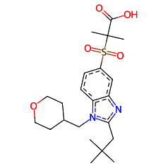 CC(C)(C)Cc1nc2cc(S(=O)(=O)C(C)(C)C(=O)O)ccc2n1CC1CCOCC1